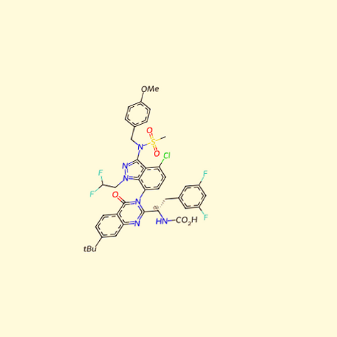 COc1ccc(CN(c2nn(CC(F)F)c3c(-n4c([C@H](Cc5cc(F)cc(F)c5)NC(=O)O)nc5cc(C(C)(C)C)ccc5c4=O)ccc(Cl)c23)S(C)(=O)=O)cc1